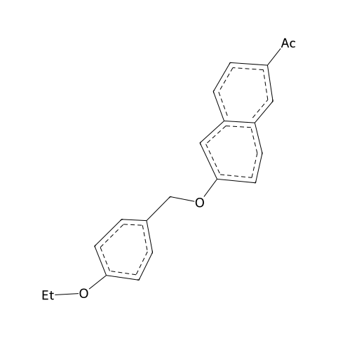 CCOc1ccc(COc2ccc3cc(C(C)=O)ccc3c2)cc1